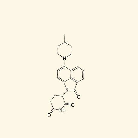 CC1CCN(c2ccc3c4c(cccc24)C(=O)N3C2CCC(=O)NC2=O)CC1